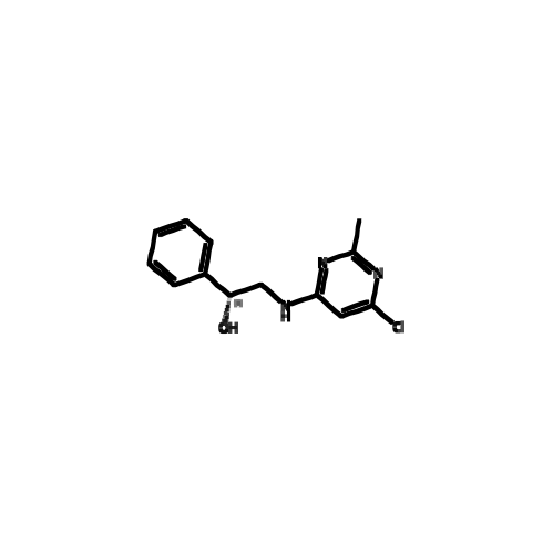 Cc1nc(Cl)cc(NC[C@H](O)c2ccccc2)n1